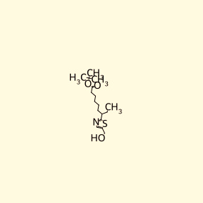 CCC(CCCCCC(=O)OC(C)(C)C)c1ncc(CO)s1